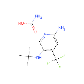 CC(C)(C)Nc1cnc(N)cc1C(F)(F)F.NC(=O)O